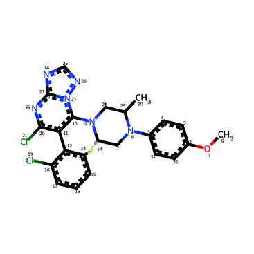 COc1ccc(N2CCN(c3c(-c4c(F)cccc4Cl)c(Cl)nc4ncnn34)CC2C)cc1